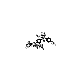 CCc1ccc(N(CC(C)C)S(=O)(=O)c2ccc(NC[C@H]3[C@H]4COC[C@@H]34)c(S(C)(=N)=O)c2)cc1